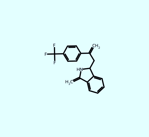 C=C(CC1NC(=C)c2ccccc21)c1ccc(C(F)(F)F)cc1